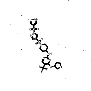 O=S(=O)(c1cnn(S(=O)(=O)c2cn[nH]c2)c1)N1CCC(Nc2ncc(C(F)(F)F)c(O[C@H]3CCOC3)n2)CC1